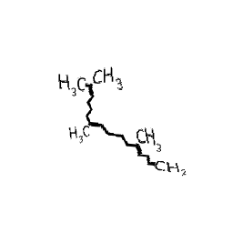 C=CC/C=C(\C)CCC/C=C(\C)CCCC=C(C)C